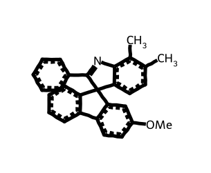 COc1ccc2c(c1)C1(C(c3ccccc3)=Nc3c1ccc(C)c3C)c1ccccc1-2